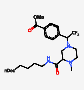 CCCCCCCCCCCCCCNC(=O)C1CN(C(c2ccc(C(=O)OC)cc2)C(F)(F)F)CCN1C